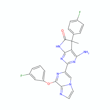 CC1(c2ccc(F)cc2)C(=O)Nc2nc(-c3cn4ccnc4c(Oc4cccc(F)c4)n3)nc(N)c21